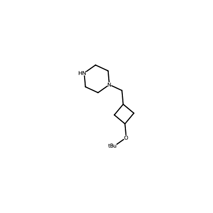 CC(C)(C)OC1CC(CN2CCNCC2)C1